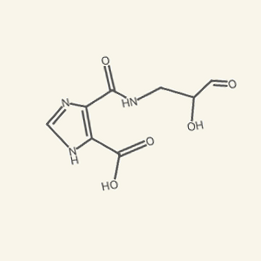 O=CC(O)CNC(=O)c1nc[nH]c1C(=O)O